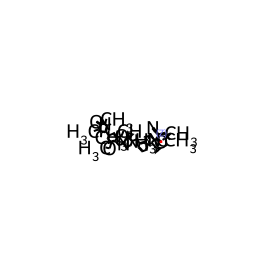 COc1cc(-c2cn(C)c(=O)c(C)c2C)cc(OC)c1CN1CCN(Cc2cccc3c2CCN(C(=O)/C(C#N)=C\C(C)(C)C)C3C2CC2)C2(CC2)C1